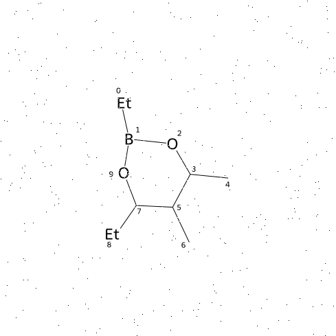 CCB1OC(C)C(C)C(CC)O1